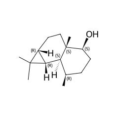 C[C@@H]1CC[C@H](O)[C@@]2(C)CC[C@@H]3[C@H]([C@H]12)C3(C)C